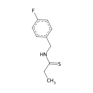 CCC(=S)NCc1ccc(F)cc1